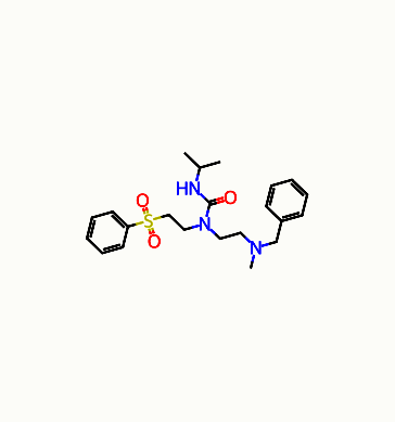 CC(C)NC(=O)N(CCN(C)Cc1ccccc1)CCS(=O)(=O)c1ccccc1